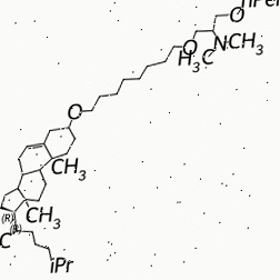 CCCCCOCC(COCCCCCCCCOC1CCC2(C)C(=CCC3C2CCC2(C)C3CC[C@@H]2[C@H](C)CCCC(C)C)C1)N(C)C